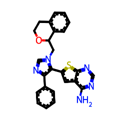 Nc1ncnc2sc(-c3c(-c4ccccc4)ncn3CC3OCCc4ccccc43)cc12